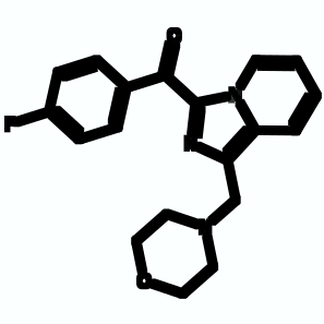 O=C(c1ccc(F)cc1)c1nc(CN2CCOCC2)c2ccccn12